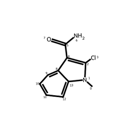 Cn1c(Cl)c(C(N)=O)c2ccccc21